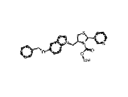 CC(C)(C)OC(=O)N1C(Cn2ccc3cc(OCc4ccccc4)ccc32)CSC1c1cccnc1